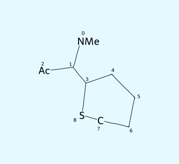 CNC(C(C)=O)C1CCCCS1